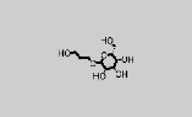 OCCCOC1O[C@H](CO)[C@@H](O)[C@H](O)[C@@H]1O